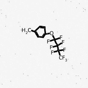 [CH2]c1ccc(OC(F)(F)C(F)(F)C(F)(F)C(F)(F)F)cc1